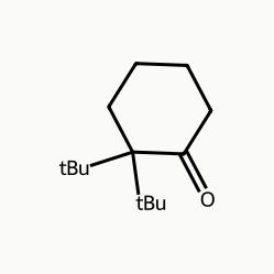 CC(C)(C)C1(C(C)(C)C)CCCCC1=O